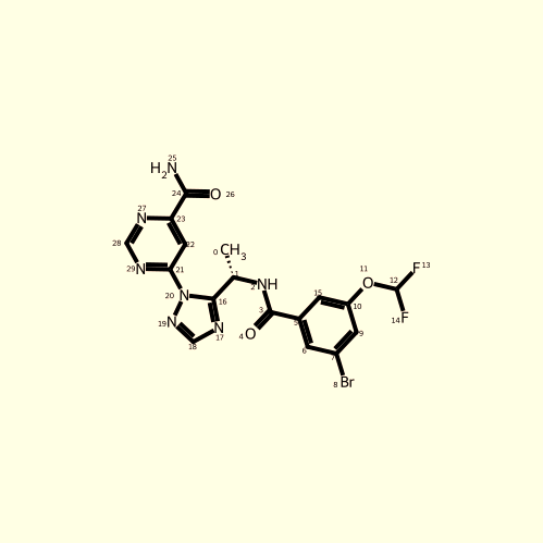 C[C@H](NC(=O)c1cc(Br)cc(OC(F)F)c1)c1ncnn1-c1cc(C(N)=O)ncn1